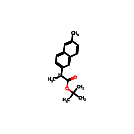 Cc1ccc2cc([C@H](C)C(=O)OC(C)(C)C)ccc2c1